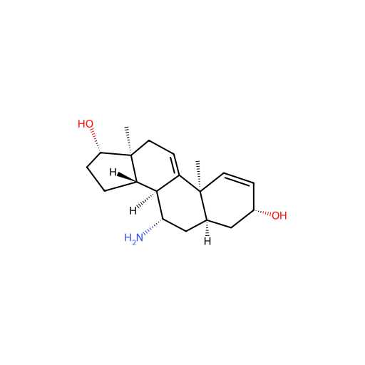 C[C@]12CC=C3[C@@H]([C@@H](N)C[C@@H]4C[C@@H](O)C=C[C@]34C)[C@@H]1CC[C@@H]2O